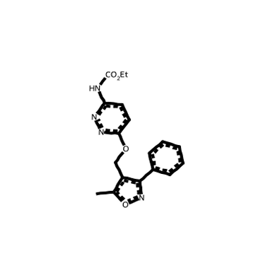 CCOC(=O)Nc1ccc(OCc2c(-c3ccccc3)noc2C)nn1